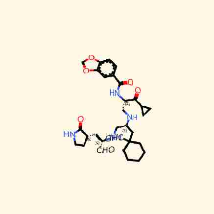 O=C[C@H](C[C@@H]1CCNC1=O)NC[C@H](CC1(C=O)CCCCC1)NC[C@H](NC(=O)c1ccc2c(c1)OCO2)C(=O)C1CC1